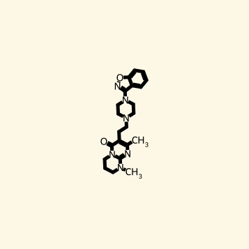 Cc1nc2n(c(=O)c1CCN1CCN(c3noc4ccccc34)CC1)CCCN2C